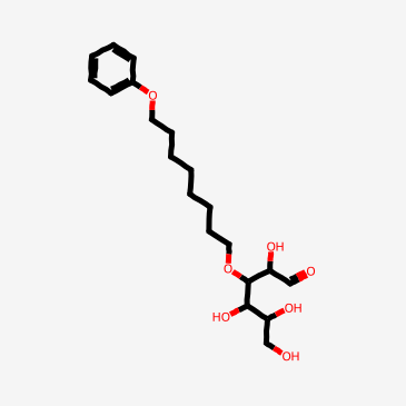 O=CC(O)C(OCCCCCCCCOc1ccccc1)C(O)C(O)CO